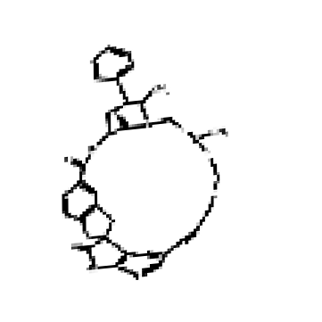 CC1C(c2ccccc2)CC2NC(=O)c3cnc4c(c3)C[C@@]3(C4)C(=O)Nc4ncc(cc43)C=CCOCCN(C)CCN1C2=O